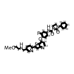 COCCNCc1ccc(-c2cc3nccc(Oc4ccc(NC(=O)N5CCN(c6ccccc6)C5=O)cc4F)c3s2)nc1